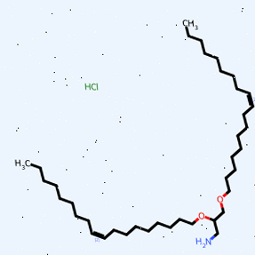 CCCCCCCC/C=C\CCCCCCCCOCC(CN)OCCCCCCCC/C=C\CCCCCCCC.Cl